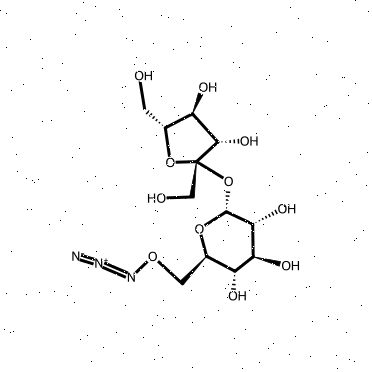 [N-]=[N+]=NOC[C@H]1O[C@H](O[C@]2(CO)O[C@H](CO)[C@@H](O)[C@@H]2O)[C@H](O)[C@@H](O)[C@@H]1O